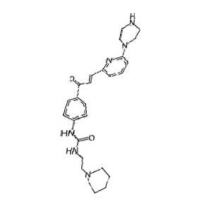 O=C(NCCN1CCCCC1)Nc1ccc(C(=O)C=Cc2cccc(N3CCNCC3)n2)cc1